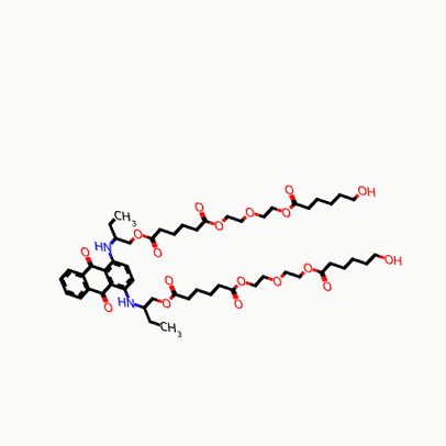 CCC(COC(=O)CCCCC(=O)OCCOCCOC(=O)CCCCCO)Nc1ccc(NC(CC)COC(=O)CCCCC(=O)OCCOCCOC(=O)CCCCCO)c2c1C(=O)c1ccccc1C2=O